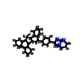 CC1(C)c2c(cc(-c3ccc(-c4cn5cccnc5n4)cc3)c3ccccc23)-c2c1c1ccccc1c1ccccc21